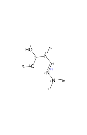 COC(O)N(C)/C=N/N(C)C